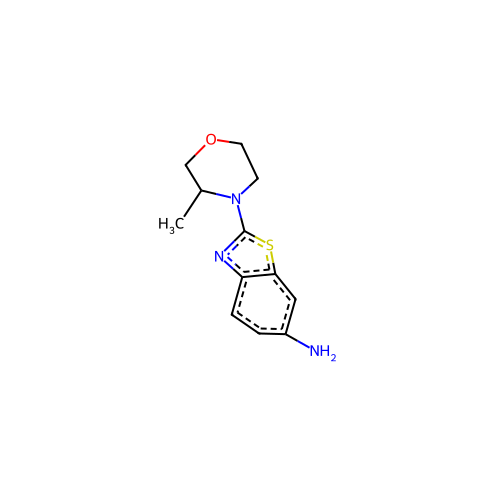 CC1COCCN1c1nc2ccc(N)cc2s1